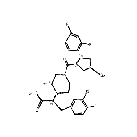 COC(=O)[C@H](Cc1ccc(Cl)c(Cl)c1)N1CCN(C(=O)[C@@H]2CN(C(C)(C)C)C[C@H]2c2ccc(F)cc2F)C[C@H]1C